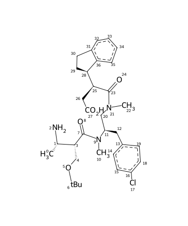 C[C@H](N)[C@@H](COC(C)(C)C)C(=O)N(C)[C@H](Cc1ccc(Cl)cc1)CN(C)C(=O)[C@@H](CC(=O)O)[C@H]1CCc2ccccc21